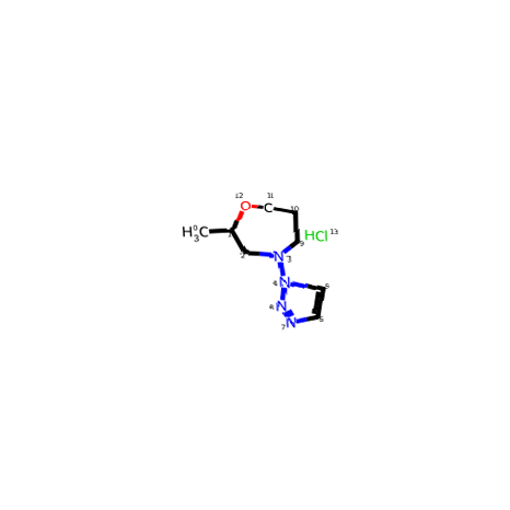 CC1CN(n2ccnn2)CCCO1.Cl